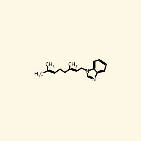 CC(C)=CCC/C(C)=C/Cn1cnc2ccccc21